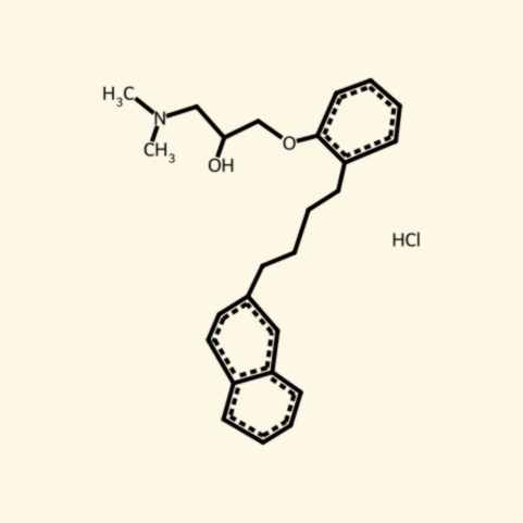 CN(C)CC(O)COc1ccccc1CCCCc1ccc2ccccc2c1.Cl